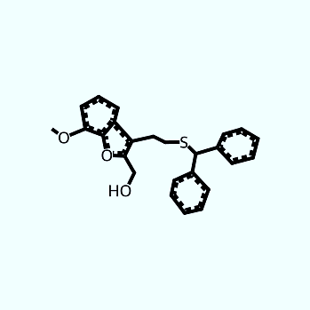 COc1cccc2c(CCSC(c3ccccc3)c3ccccc3)c(CO)oc12